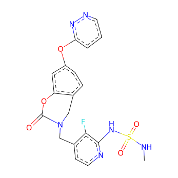 CNS(=O)(=O)Nc1nccc(CN2Cc3ccc(Oc4cccnn4)cc3OC2=O)c1F